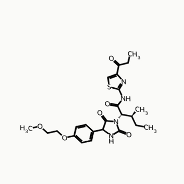 CCC(=O)c1csc(NC(=O)[C@H]([C@@H](C)CC)N2C(=O)NC(c3ccc(OCCOC)cc3)C2=O)n1